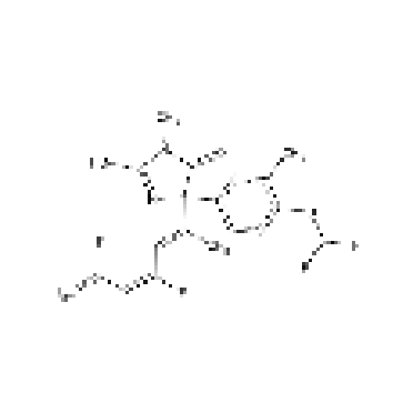 C=C(F)/C=C(F)\C=C(/C)C1(c2ccc(OC(F)F)c(C)c2)N=C(N)N(C)C1=O